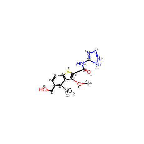 CC(C)Oc1c(C(=O)Nc2nnn[nH]2)sc2ccc(CO)c([N+](=O)[O-])c12